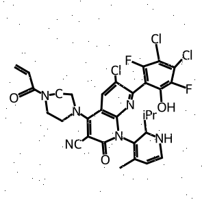 C=CC(=O)N1CCN(c2c(C#N)c(=O)n(C3=C(C)C=CNC3C(C)C)c3nc(-c4c(O)c(F)c(Cl)c(Cl)c4F)c(Cl)cc23)CC1